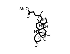 COC(=O)CC[C@@H](C)[C@H]1CC[C@H]2[C@@H]3C[C@@H]4O[C@@]45C[C@@H](O)CC[C@]5(C)[C@H]3CC[C@]12C